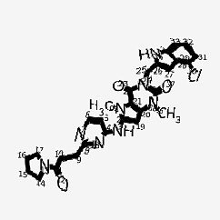 Cn1c(Nc2ccnc(CCC(=O)N3CCCC3)n2)cc2c1c(=O)n(Cc1cc3c(Cl)cccc3[nH]1)c(=O)n2C